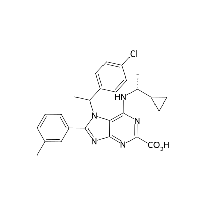 Cc1cccc(-c2nc3nc(C(=O)O)nc(N[C@H](C)C4CC4)c3n2C(C)c2ccc(Cl)cc2)c1